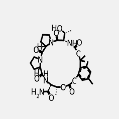 Cc1cc(C)c2c(c1)CC(=O)O[C@H](C)[C@@H](C(N)=O)NC(=O)[C@@H]1CCCN1C(=O)[C@@H]1CCCN1C(=O)[C@H]([C@@H](C)O)NC(=O)CC2(C)C